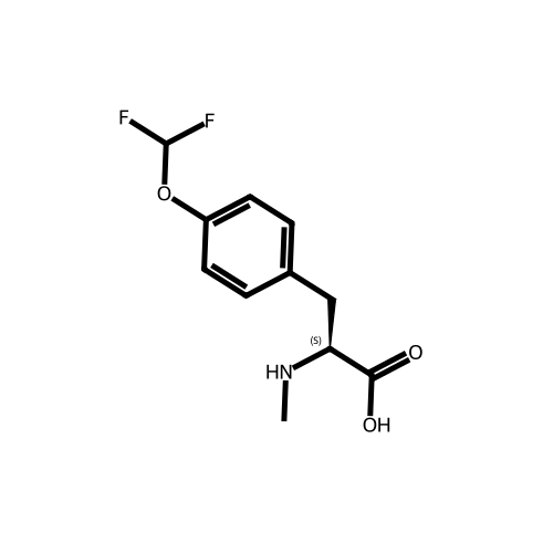 CN[C@@H](Cc1ccc(OC(F)F)cc1)C(=O)O